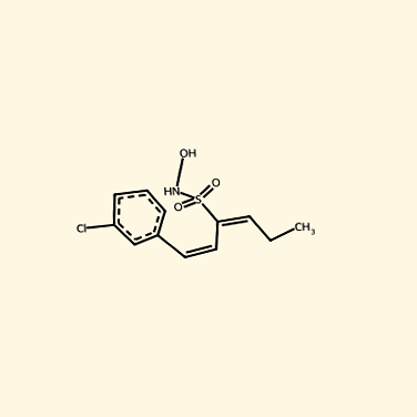 CC/C=C(\C=C/c1cccc(Cl)c1)S(=O)(=O)NO